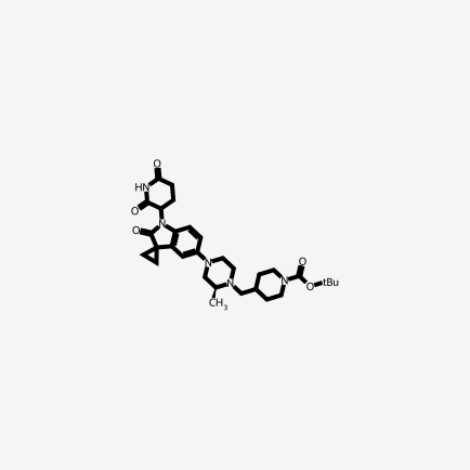 C[C@H]1CN(c2ccc3c(c2)C2(CC2)C(=O)N3C2CCC(=O)NC2=O)CCN1CC1CCN(C(=O)OC(C)(C)C)CC1